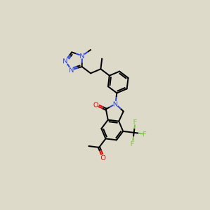 CC(=O)c1cc2c(c(C(F)(F)F)c1)CN(c1cccc(C(C)Cc3nncn3C)c1)C2=O